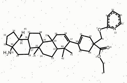 CCOC(=O)C1(COc2ccccn2)CC=C(C2=CCC3(C)C(CCC4(C)C5CCC6(N)CCC[C@@H]6C5CCC43)C2(C)C)CC1